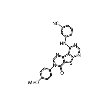 COc1ccc(-n2cnc3c(sc4ncnc(Nc5cccc(C#N)c5)c43)c2=O)cc1